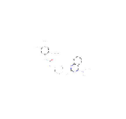 COc1cc(OC)c(NC(=O)N[C@H]2CC[C@@H](Nc3nc(N(C)C)c4ccccc4n3)CC2)cc1Cl